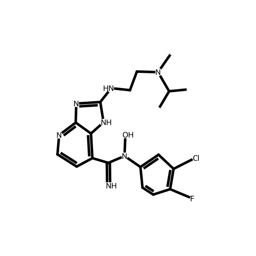 CC(C)N(C)CCNc1nc2nccc(C(=N)N(O)c3ccc(F)c(Cl)c3)c2[nH]1